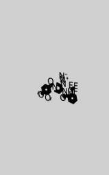 COc1ccc(C(=O)N2CC[C@@H](NC(=O)c3ccccc3OC(F)(F)F)[C@@H](N=[N+]=[N-])C2)cc1OC